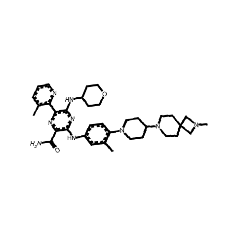 Cc1cc(Nc2nc(NC3CCOCC3)c(-c3ncccc3C)nc2C(N)=O)ccc1N1CCC(N2CCC3(CC2)CN(C)C3)CC1